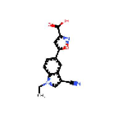 CCn1cc(C#N)c2cc(-c3cc(C(=O)O)no3)ccc21